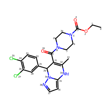 CCOC(=O)N1CCN(C(=O)C2=C(C)Nc3ccnn3C2c2ccc(Cl)c(Cl)c2)CC1